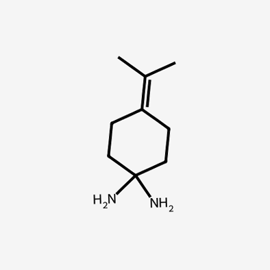 CC(C)=C1CCC(N)(N)CC1